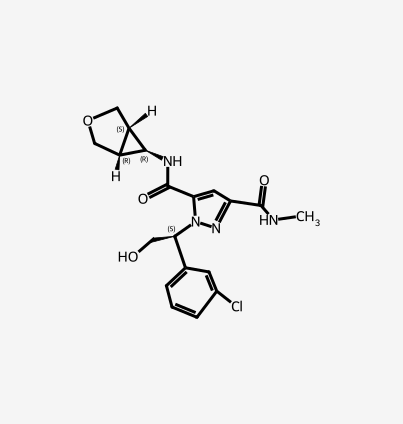 CNC(=O)c1cc(C(=O)N[C@H]2[C@@H]3COC[C@@H]32)n([C@H](CO)c2cccc(Cl)c2)n1